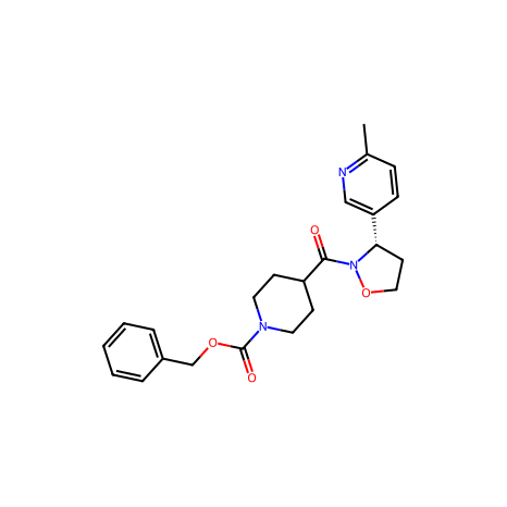 Cc1ccc([C@@H]2CCON2C(=O)C2CCN(C(=O)OCc3ccccc3)CC2)cn1